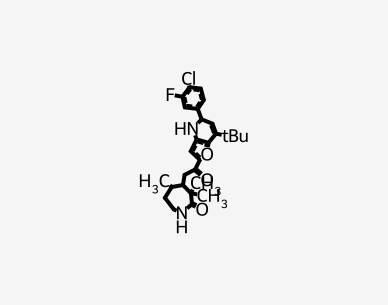 CC1CCNC(=O)C(C)(C)C1CC(=O)c1cc2c(o1)C(C(C)(C)C)=CC(c1ccc(Cl)c(F)c1)N2